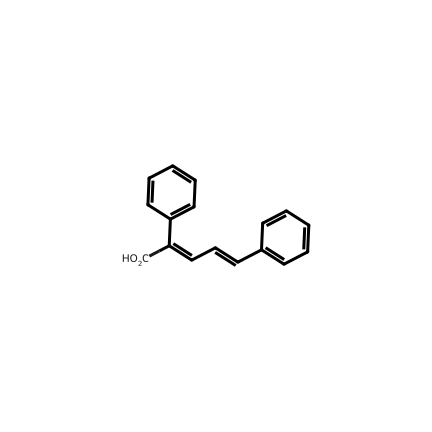 O=C(O)C(=CC=Cc1ccccc1)c1ccccc1